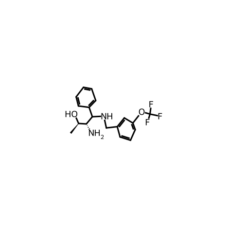 C[C@@H](O)[C@@H](N)C(NCc1cccc(OC(F)(F)F)c1)c1ccccc1